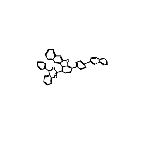 c1ccc(-c2nc(-c3ccc(-c4ccc(-c5ccc6ccccc6c5)cc4)c4oc5cc6ccccc6cc5c34)nc3ccccc23)cc1